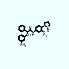 Cc1cc(NC(=O)C(Nc2cccc(N)c2)c2ccccc2)ccc1N1CCC[S+]1[O-]